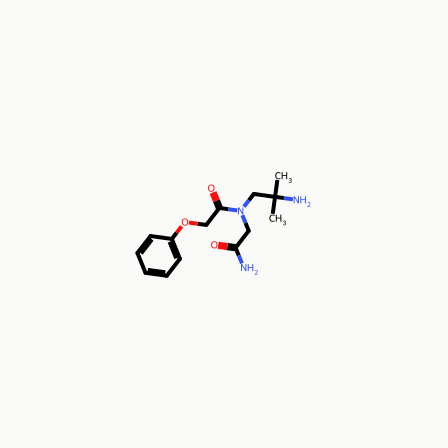 CC(C)(N)CN(CC(N)=O)C(=O)COc1ccccc1